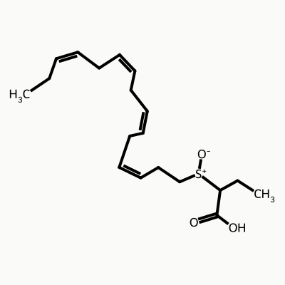 CC/C=C\C/C=C\C/C=C\C/C=C\CC[S+]([O-])C(CC)C(=O)O